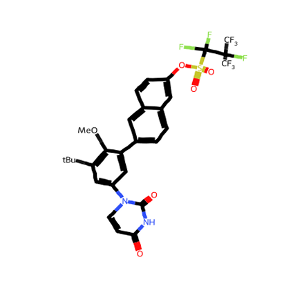 COc1c(-c2ccc3cc(OS(=O)(=O)C(F)(F)C(F)(C(F)(F)F)C(F)(F)F)ccc3c2)cc(-n2ccc(=O)[nH]c2=O)cc1C(C)(C)C